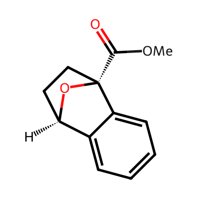 COC(=O)[C@@]12CC[C@@H](O1)c1ccccc12